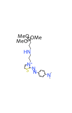 CO[Si](CCCNCCC[n+]1ccsc1/N=N/c1ccc(N(C)C)cc1)(OC)OC